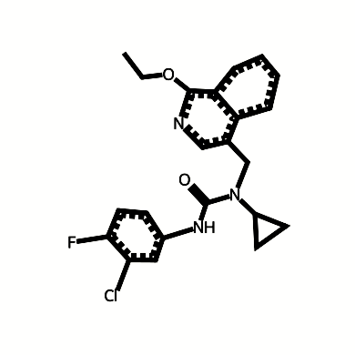 CCOc1ncc(CN(C(=O)Nc2ccc(F)c(Cl)c2)C2CC2)c2ccccc12